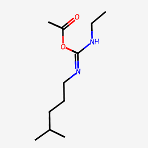 CCN/C(=N/CCCC(C)C)OC(C)=O